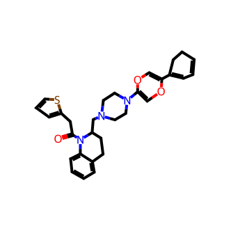 O=C(Cc1cccs1)N1c2ccccc2CCC1CN1CCN(C2=COC(C3=CC=CCC3)=CO2)CC1